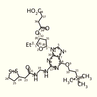 CC[C@H]1O[C@@H](n2cnc3c(OCC[Si](C)(C)C)nc(NCNC(=O)CC4CCSS4)nc32)C[C@H]1OC(=O)CCC(=O)O